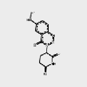 CC(C)Bc1ccc2nnn(C3CCC(=O)NC3=O)c(=O)c2c1